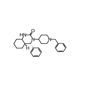 O=C1NC2CCCC[C@H]2[C@@H](c2ccccc2)N1C1CCN(Cc2ccccc2)CC1